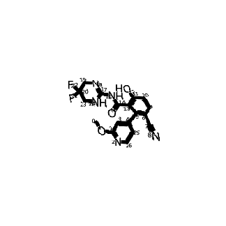 COc1cc(-c2c(C#N)ccc(O)c2C(=O)NC2=NCC(F)(F)CN2)ccn1